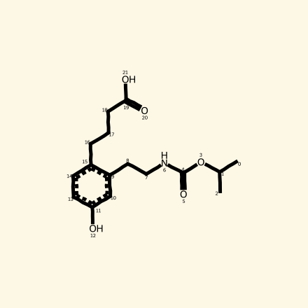 CC(C)OC(=O)NCCc1cc(O)ccc1CCCC(=O)O